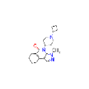 Cn1ncc2c3c(c(=O)n(C4CCN(C5CCC5)CC4)c21)CCCC3